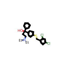 CCN(CC)CCC(O)(c1ccccc1)c1ccc(SCc2ccc(Cl)cc2Cl)cc1